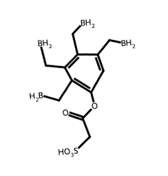 BCc1cc(OC(=O)CS(=O)(=O)O)c(CB)c(CB)c1CB